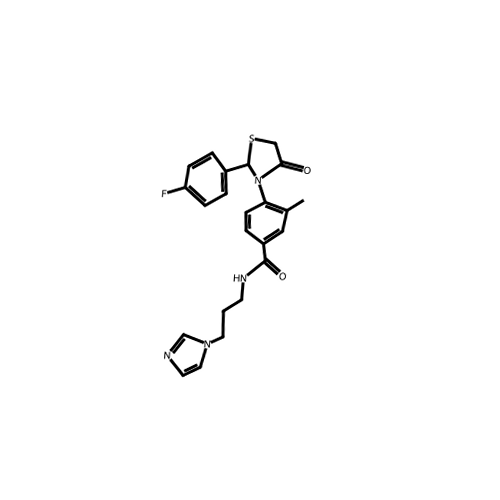 Cc1cc(C(=O)NCCCn2ccnc2)ccc1N1C(=O)CSC1c1ccc(F)cc1